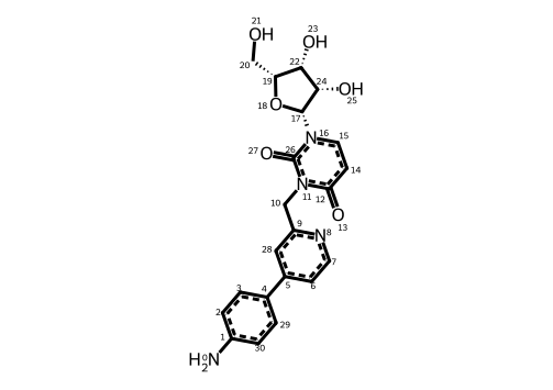 Nc1ccc(-c2ccnc(Cn3c(=O)ccn([C@@H]4O[C@H](CO)[C@H](O)[C@@H]4O)c3=O)c2)cc1